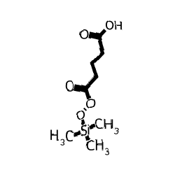 C[Si](C)(C)OOC(=O)CCCC(=O)O